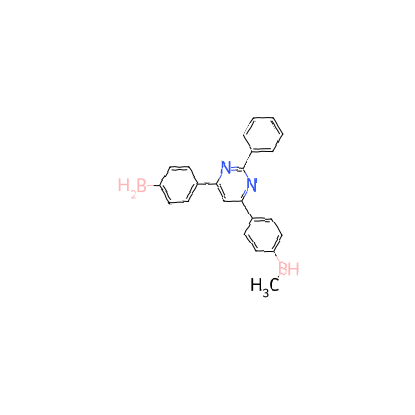 Bc1ccc(-c2cc(-c3ccc(BC)cc3)nc(-c3ccccc3)n2)cc1